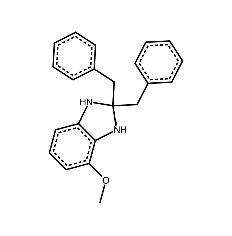 COc1cccc2c1NC(Cc1ccccc1)(Cc1ccccc1)N2